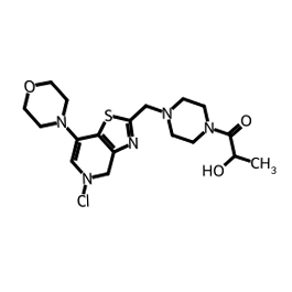 CC(O)C(=O)N1CCN(Cc2nc3c(s2)C(N2CCOCC2)=CN(Cl)C3)CC1